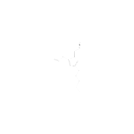 C=CCC1=CC(CCCCC)=[C]C1CC=C